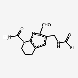 CCC(=O)NCc1cc2c(nc1C=O)N(C(N)=O)CCC2